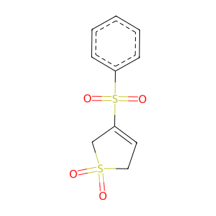 O=S1(=O)CC=C(S(=O)(=O)c2ccccc2)C1